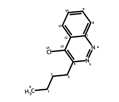 CCCCc1nnc2ccccc2c1Cl